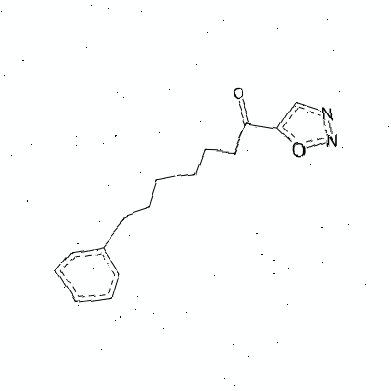 O=C(CCCCCCc1ccccc1)c1cnno1